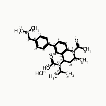 CC(=O)N1c2ccc(-c3ccc(CN(C)C)cc3)cc2C(N(C(=O)O)C(C)C)CC1C.Cl